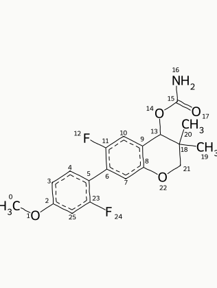 COc1ccc(-c2cc3c(cc2F)C(OC(N)=O)C(C)(C)CO3)c(F)c1